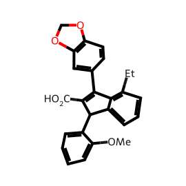 CCc1cccc2c1C(c1ccc3c(c1)OCO3)=C(C(=O)O)C2c1ccccc1OC